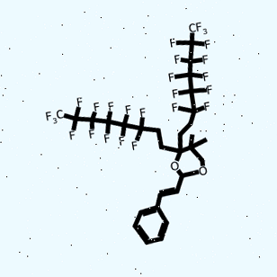 CC1(C)COC(C=Cc2ccccc2)OC1(CCC(F)(F)C(F)(F)C(F)(F)C(F)(F)C(F)(F)C(F)(F)F)CCC(F)(F)C(F)(F)C(F)(F)C(F)(F)C(F)(F)C(F)(F)F